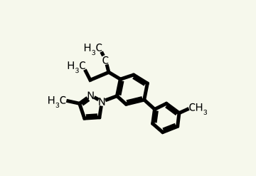 CCC(CC)c1ccc(-c2cccc(C)c2)cc1-n1ccc(C)n1